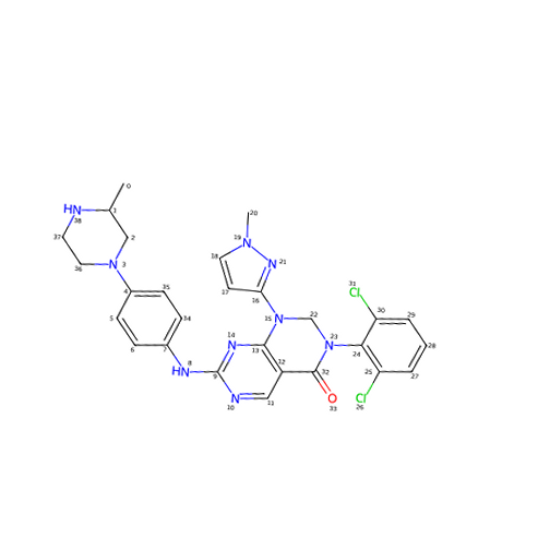 CC1CN(c2ccc(Nc3ncc4c(n3)N(c3ccn(C)n3)CN(c3c(Cl)cccc3Cl)C4=O)cc2)CCN1